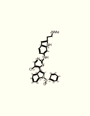 CNCCc1cc2ccc(Nc3ncc(Cl)c(-c4cn([S+]([O-])c5ccccc5)c5ccccc45)n3)cc2[nH]1